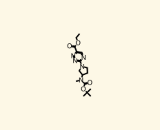 CCOC(=O)c1cnc(N2CCC(N(C)C(=O)OC(C)(C)C)C2)nn1